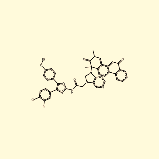 CCOc1ccc(-c2sc(NC(=O)CN3CN(C4(C)C(=O)C(C)C=c5c4ccc4c5=CC(=O)c5ccccc5-4)c4ncncc43)nc2-c2ccc(Cl)c(Cl)c2)cc1